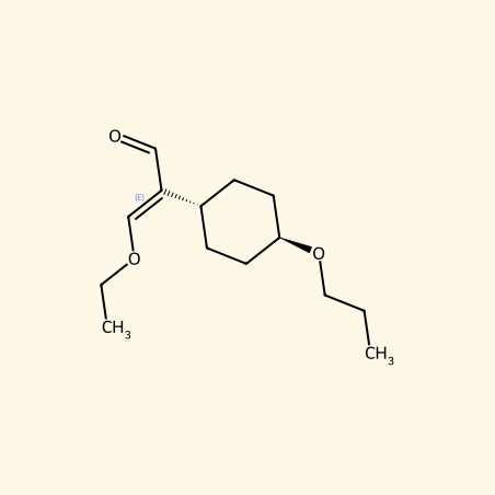 CCCO[C@H]1CC[C@H](/C(C=O)=C\OCC)CC1